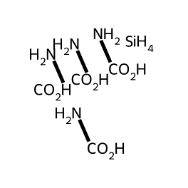 NC(=O)O.NC(=O)O.NC(=O)O.NC(=O)O.[SiH4]